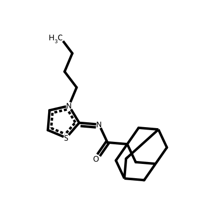 CCCCn1ccsc1=NC(=O)C12CC3CC(CC(C3)C1)C2